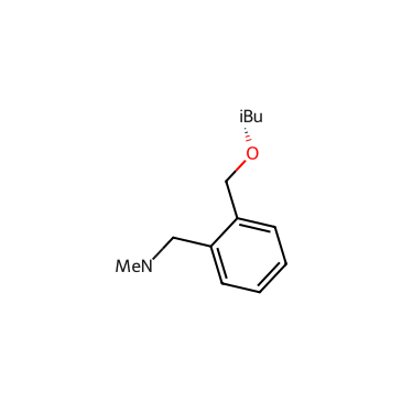 CC[C@@H](C)OCc1ccccc1CNC